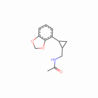 CC(=O)NCC1CC1c1cccc2c1OCO2